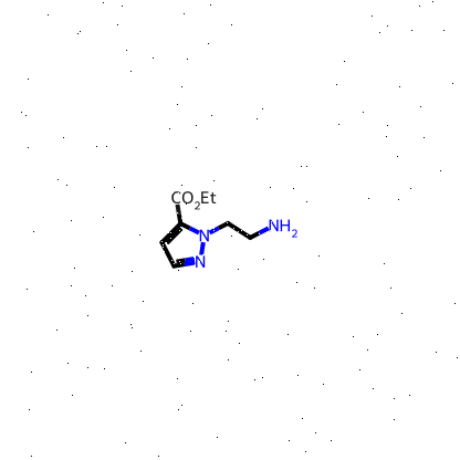 CCOC(=O)c1ccnn1CCN